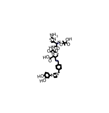 CC(C)(O/N=C(\C(=O)N[C@@H]1C(=O)N2C(C(=O)O)=C(/C=C/c3ccc(C[n+]4ccn(-c5ccc(O)c(O)c5)c4)cc3)CS[C@H]12)c1csc(N)n1)C(=O)O